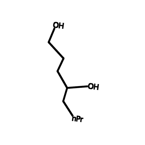 [CH2]CCCC(O)CCCO